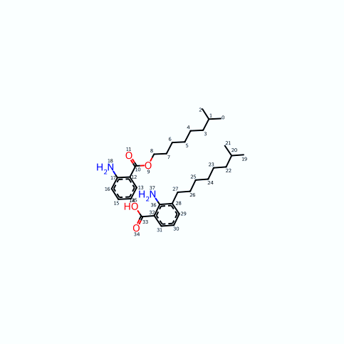 CC(C)CCCCCCOC(=O)c1ccccc1N.CC(C)CCCCCCc1cccc(C(=O)O)c1N